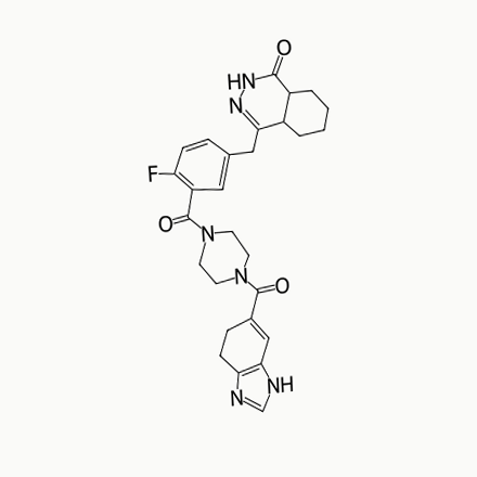 O=C1NN=C(Cc2ccc(F)c(C(=O)N3CCN(C(=O)C4=Cc5[nH]cnc5CC4)CC3)c2)C2CCCCC12